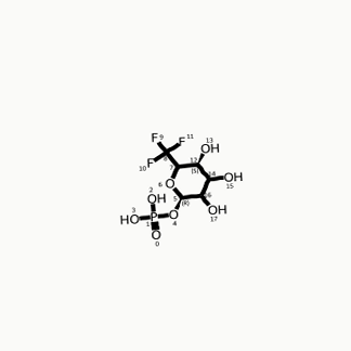 O=P(O)(O)O[C@H]1OC(C(F)(F)F)[C@@H](O)C(O)C1O